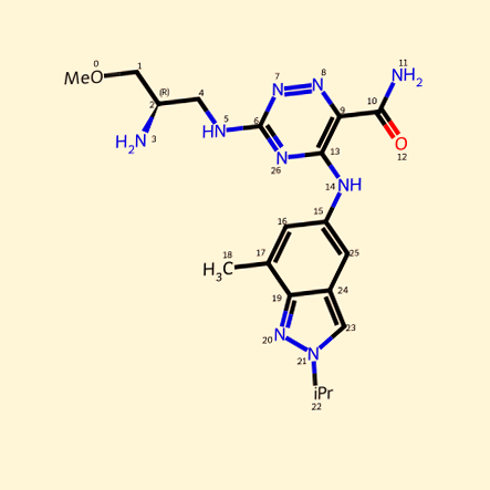 COC[C@H](N)CNc1nnc(C(N)=O)c(Nc2cc(C)c3nn(C(C)C)cc3c2)n1